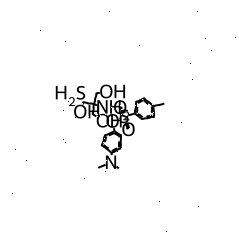 Cc1ccc(S(=O)(=O)Oc2ccc(N(C)C)cc2)cc1.NC(CO)(CO)CO.S